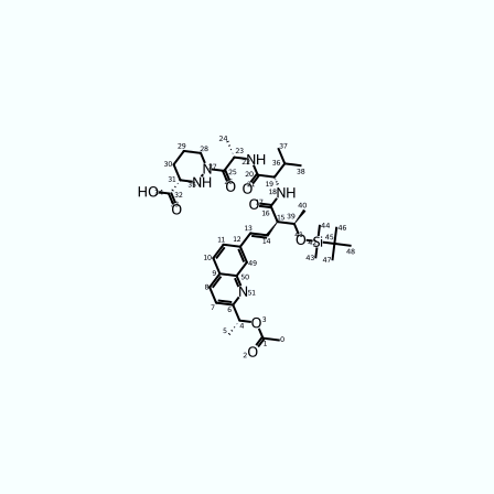 CC(=O)O[C@H](C)c1ccc2ccc(C=C[C@@H](C(=O)N[C@H](C(=O)N[C@@H](C)C(=O)N3CCC[C@@H](C(=O)O)N3)C(C)C)[C@@H](C)O[Si](C)(C)C(C)(C)C)cc2n1